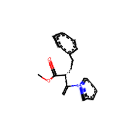 C=C([C@@H](Cc1ccccc1)C(=O)OC)n1cccc1